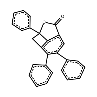 O=C1OC2(c3ccccc3)Cc3c(-c4ccccc4)c(-c4ccccc4)cc1c32